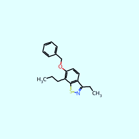 CCCc1c(OCc2ccccc2)ccc2c(CC)nsc12